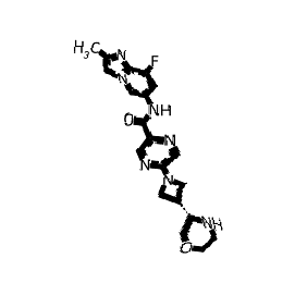 Cc1cn2cc(NC(=O)c3cnc(N4CC([C@H]5COCCN5)C4)cn3)cc(F)c2n1